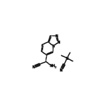 C[Si](C)(C)C#N.N#CC(N)c1ccc2cnnn2c1